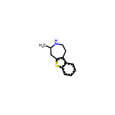 CC1Cc2sc3ccccc3c2CCN1